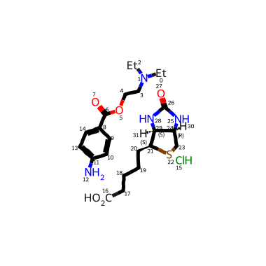 CCN(CC)CCOC(=O)c1ccc(N)cc1.Cl.O=C(O)CCCC[C@@H]1SC[C@@H]2NC(=O)N[C@@H]21